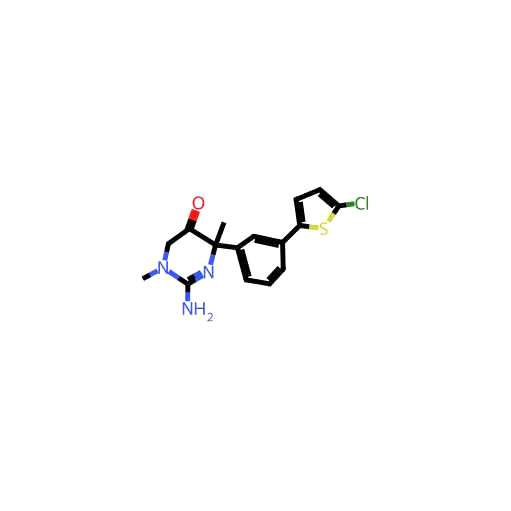 CN1CC(=O)C(C)(c2cccc(-c3ccc(Cl)s3)c2)N=C1N